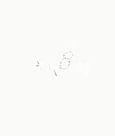 CC(C)(C)c1nc2cc(C(=O)N3CCS(=O)(=O)CC3)ccn2c1CC1CCOCC1